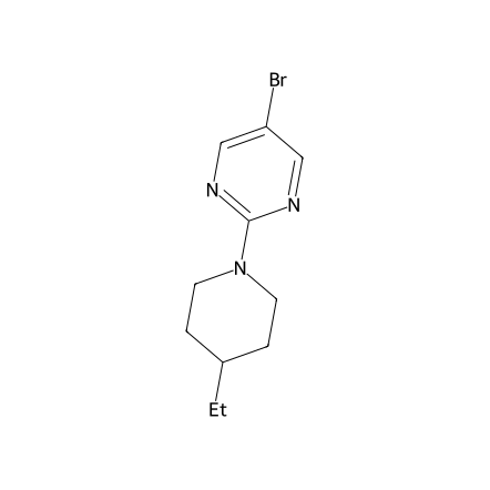 CCC1CCN(c2ncc(Br)cn2)CC1